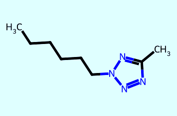 CCCCCCn1nnc(C)n1